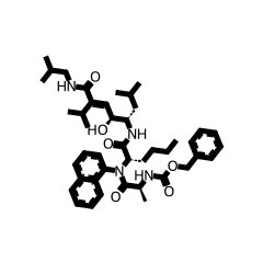 CCCC[C@@H](C(=O)N[C@@H](CC(C)C)[C@@H](O)/C=C(/C(=O)NCC(C)C)C(C)C)N(C(=O)[C@H](C)NC(=O)OCc1ccccc1)c1cccc2ccccc12